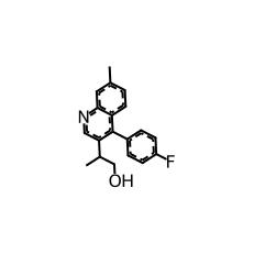 Cc1ccc2c(-c3ccc(F)cc3)c(C(C)CO)cnc2c1